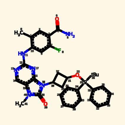 Cc1cc(C(N)=O)c(F)cc1Nc1ncc2c(n1)n(C1CC(O[Si](c3ccccc3)(c3ccccc3)C(C)(C)C)C1)c(=O)n2C